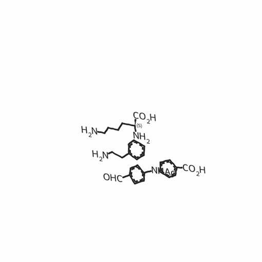 CC(=O)Nc1ccc(C=O)cc1.NCCCC[C@H](N)C(=O)O.NCCc1ccccc1.O=C(O)c1ccccc1